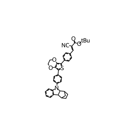 CC(C)(C)OC(=O)/C(C#N)=C/c1ccc(-c2sc(-c3ccc(N4c5ccccc5C5C6CCC(C6)C54)cc3)c3c2OCCO3)cc1